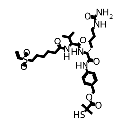 C=CS(=O)(=O)CCCCCC(=O)NC(C(=O)N[C@H](CCCCNC(N)=O)C(=O)Nc1ccc(COC(=O)C(C)(C)S)cc1)C(C)C